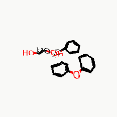 O=C(O)c1ccccc1.OCCO.c1ccc(Oc2ccccc2)cc1